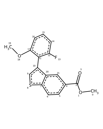 COC(=O)c1ccc2scc(-c3c(F)cccc3OC)c2c1